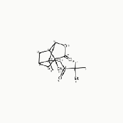 CCC(C)(C)C(=O)OC1(C)C2CC3C1OC(=O)C3(C#N)C2